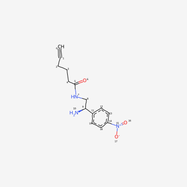 C#CCCCC(=O)NC[C@H](N)c1ccc([N+](=O)[O-])cc1